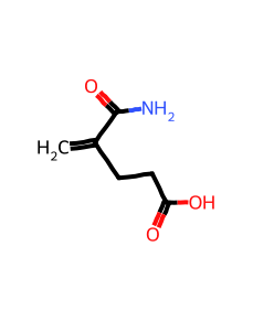 C=C(CCC(=O)O)C(N)=O